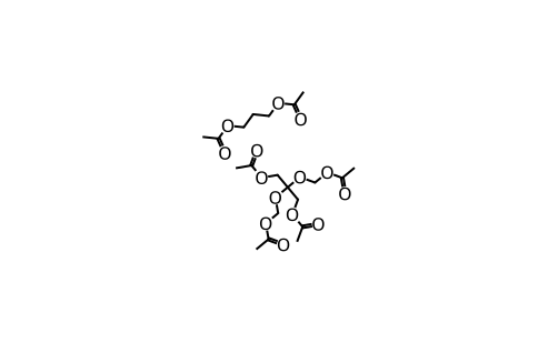 CC(=O)OCCCOC(C)=O.CC(=O)OCOC(COC(C)=O)(COC(C)=O)OCOC(C)=O